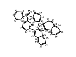 S=P(c1ccccc1)(c1ccccc1)c1cccc(-c2cc3ccccc3c3c2oc2ccc4ccccc4c23)n1